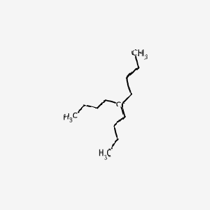 CCC[CH2][Cr]([CH2]CCC)[CH2]CCC